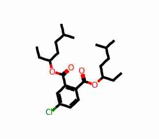 CCC(CCC(C)C)OC(=O)c1ccc(Cl)cc1C(=O)OC(CC)CCC(C)C